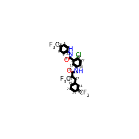 O=C(Nc1ccc(C(F)(F)F)cc1)c1cc(NC(=O)C(Cc2cccc(C(F)(F)F)c2)C(F)(F)F)ccc1Cl